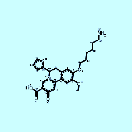 COc1cc2c(cc1OCCCCCCN)CC(c1cccs1)n1cc(C(=O)O)c(=O)cc1-2